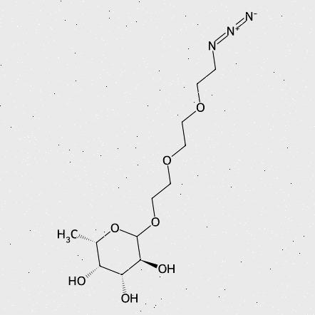 C[C@@H]1OC(OCCOCCOCCN=[N+]=[N-])[C@@H](O)[C@H](O)[C@@H]1O